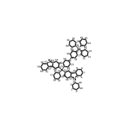 c1ccc(-n2c3ccccc3c3cc(C(c4ccccc4)(c4ccc(-c5ccc([Si](c6ccccc6)(c6ccccc6)c6ccccc6)cc5)cc4)c4ccc5sc6ccccc6c5c4)ccc32)cc1